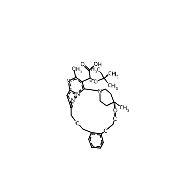 Cc1nc2cc3nn2c(c1[C@H](OC(C)(C)C)C(=O)O)N1CCC(C)(CC1)OCCCc1ccccc1CCC3